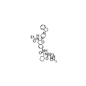 CCC(=O)NC(Cc1ccc(NC(=O)C(NC(=O)c2ccnn2C)C2CCCCC2)cc1)C(=O)N1CCN(C2CCc3ccccc32)CC1